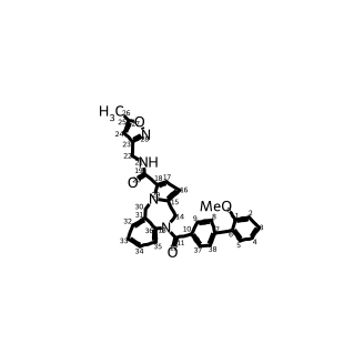 COc1ccccc1-c1ccc(C(=O)N2Cc3ccc(C(=O)NCc4cc(C)on4)n3Cc3ccccc32)cc1